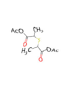 CC(=O)OC(=O)C(C)SC(C)C(=O)OC(C)=O